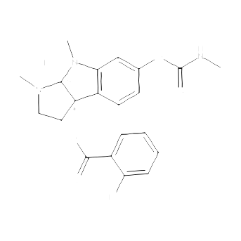 CNC(=O)Oc1ccc2c(c1)N(C)[C@@H]1N(C)CC[C@]21C.O=C(O)c1ccccc1O